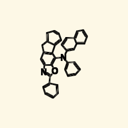 c1ccc(-c2nc3cc4c(c(N(c5ccccc5)c5ccc6ccccc6c5)c3o2)-c2ccccc2C4)cc1